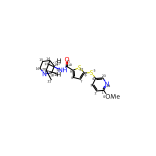 COc1ccc(Sc2ccc(C(=O)N[C@@H]3C4CCN(CC4)[C@H]3C)s2)cn1